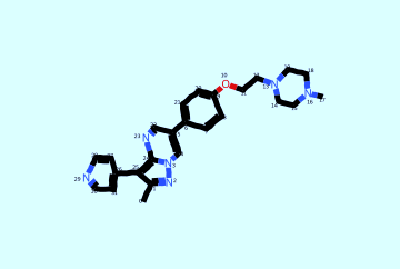 Cc1nn2cc(-c3ccc(OCCN4CCN(C)CC4)cc3)cnc2c1-c1ccncc1